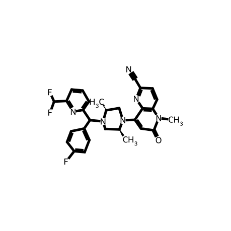 C[C@@H]1CN(c2cc(=O)n(C)c3ccc(C#N)nc23)[C@@H](C)CN1C(c1ccc(F)cc1)c1cccc(C(F)F)n1